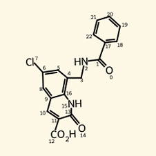 O=C(NCc1cc(Cl)cc2cc(C(=O)O)c(=O)[nH]c12)c1ccccc1